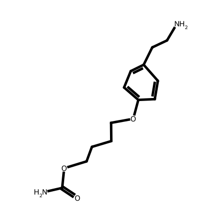 NCCc1ccc(OCCCCOC(N)=O)cc1